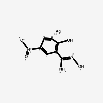 NC(=NO)c1cc([N+](=O)[O-])ccc1O.[Ag]